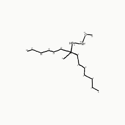 CCCCCCCC(C)(BNOC)CCCCCC